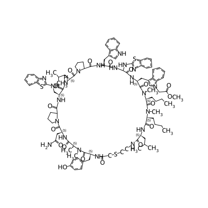 CCCC[C@H]1C(=O)N(C)[C@@H](CCCC)C(=O)N[C@@H](CC(C)C)C(=O)NCCSCC(=O)N[C@@H](Cc2ccc(O)cc2)C(=O)N(C)[C@@H](C)C(=O)N[C@@H](CC(N)=O)C(=O)N2CCCC2C(=O)N[C@@H](CNc2nc3ccccc3s2)C(=O)N[C@@H](CC(C)C)C(=O)N2CCCC2C(=O)N[C@@H](Cc2c[nH]c3ccccc23)C(=O)NC(Nc2nc3ccccc3s2)C(=O)N[C@@H](Cc2cn(CC(=O)OC)c3ccccc23)C(=O)N1C